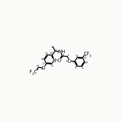 CC(NC(=O)COc1cccc(C(F)(F)F)c1)c1ccc(OCC(F)(F)F)cn1